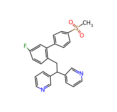 CS(=O)(=O)c1ccc(-c2cc(F)ccc2CC(c2cccnc2)c2cccnc2)cc1